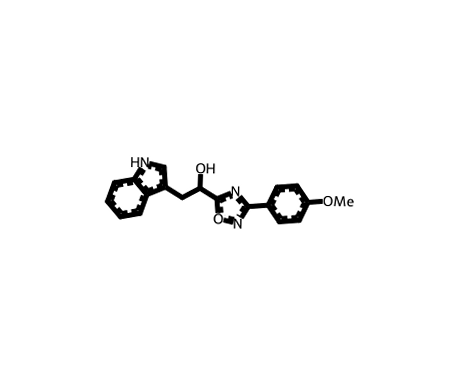 COc1ccc(-c2noc(C(O)Cc3c[nH]c4ccccc34)n2)cc1